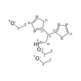 CC[O-].CC[O-].CC[O-].[Hf+3][CH2]C(C1=CC=CC1)C1=CC=CC1